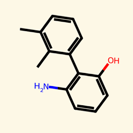 Cc1cccc(-c2c(N)cccc2O)c1C